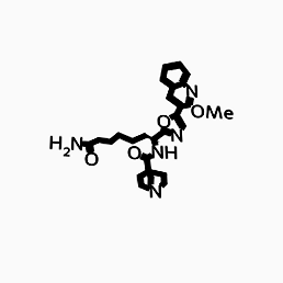 COc1nc2ccccc2cc1-c1cnc([C@H](CCCCCC(N)=O)NC(=O)C23CCN(CC2)CC3)o1